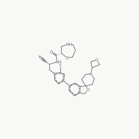 N#C[C@H](Cc1ccc(-c2ccc3c(c2)C2(CCN(C4COC4)CC2)OC3)cc1F)NC(=O)[C@@H]1CNCCCO1